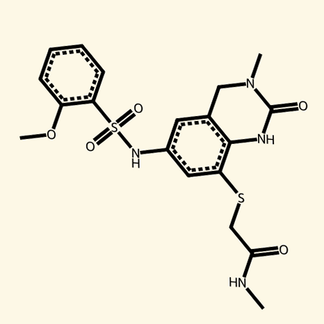 CNC(=O)CSc1cc(NS(=O)(=O)c2ccccc2OC)cc2c1NC(=O)N(C)C2